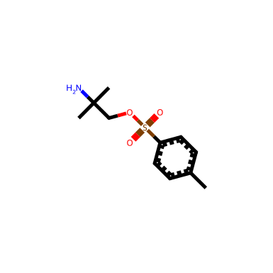 Cc1ccc(S(=O)(=O)OCC(C)(C)N)cc1